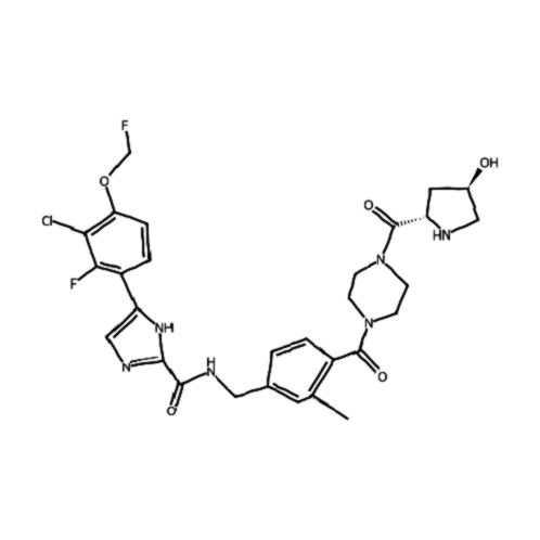 Cc1cc(CNC(=O)c2ncc(-c3ccc(OCF)c(Cl)c3F)[nH]2)ccc1C(=O)N1CCN(C(=O)[C@@H]2C[C@@H](O)CN2)CC1